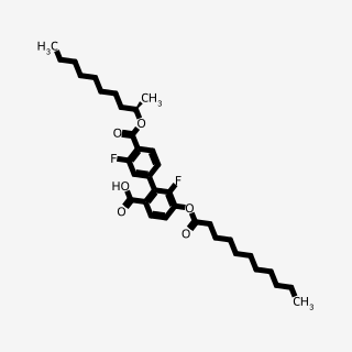 CCCCCCCCCCC(=O)Oc1ccc(C(=O)O)c(-c2ccc(C(=O)O[C@H](C)CCCCCCCC)c(F)c2)c1F